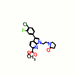 COC(=O)c1ccc2c(-c3ccc(Cl)c(F)c3)cn(CCN3CCCC3=O)c2n1